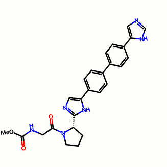 COC(=O)NCC(=O)N1CCC[C@H]1c1ncc(-c2ccc(-c3ccc(-c4cnc[nH]4)cc3)cc2)[nH]1